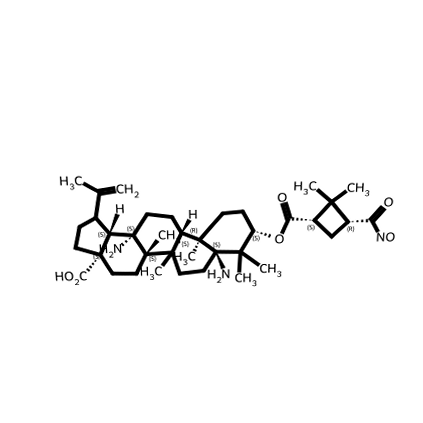 C=C(C)C1CC[C@]2(C(=O)O)CC[C@@]3(C)C4(C)CC[C@@]5(N)C(C)(C)[C@@H](OC(=O)[C@H]6C[C@@H](C(=O)N=O)C6(C)C)CC[C@]5(C)[C@H]4CC[C@]3(N)[C@@H]12